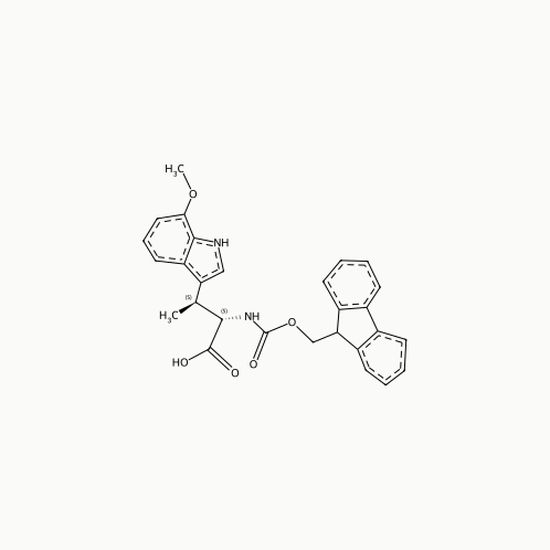 COc1cccc2c([C@H](C)[C@H](NC(=O)OCC3c4ccccc4-c4ccccc43)C(=O)O)c[nH]c12